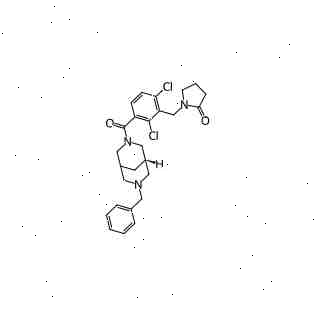 O=C1CCCN1Cc1c(Cl)ccc(C(=O)N2CC3C[C@@H](CN(Cc4ccccc4)C3)C2)c1Cl